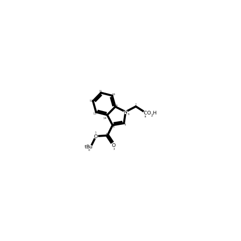 CC(C)(C)OC(=O)c1cn(CC(=O)O)c2ccccc12